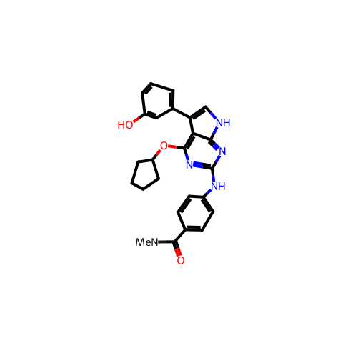 CNC(=O)c1ccc(Nc2nc(OC3CCCC3)c3c(-c4cccc(O)c4)c[nH]c3n2)cc1